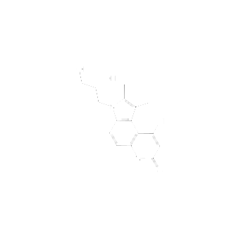 Cc1c(C)n(C[C@@H](O)CO)c2ccc3[nH]c(=O)cc(Cl)c3c12